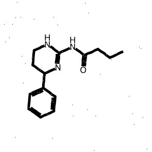 CCCC(=O)NC1=NC(c2ccccc2)CCN1